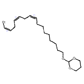 CC/C=C\C/C=C\C/C=C\CCCCCCCCOC1OCCCO1